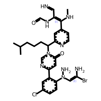 CN/C(=C(\C=N)NC=O)c1ccnc(C(CCCC(C)C)n2cnc(-c3cc(Cl)ccc3N(N)/C=C(\N)Br)cc2=O)c1